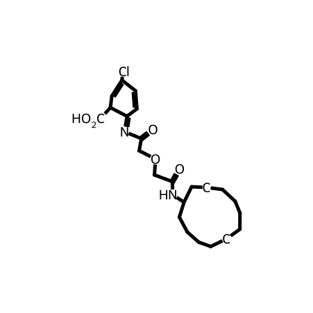 O=C(COCC(=O)NC1CCCCCCCCCCC1)N=C1C=CC(Cl)=CC1C(=O)O